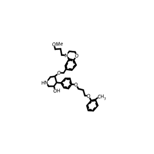 COCCCN1CCOc2ccc(COC3CNCC(O)C3c3ccc(OCCCOc4ccccc4C)cc3)cc21